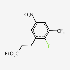 CCOC(=O)CCc1cc([N+](=O)[O-])cc(C(F)(F)F)c1F